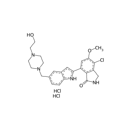 COc1cc(-c2cc3cc(CN4CCN(CCO)CC4)ccc3[nH]2)c2c(c1Cl)CNC2=O.Cl.Cl